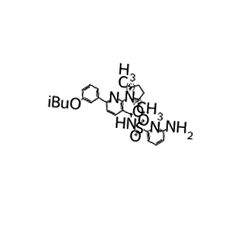 CC(C)COc1cccc(-c2ccc(C(=O)NS(=O)(=O)c3cccc(N)n3)c(N3[C@H](C)CC[C@@H]3C)n2)c1